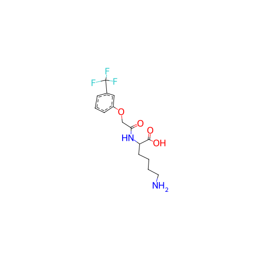 NCCCCC(NC(=O)COc1cccc(C(F)(F)F)c1)C(=O)O